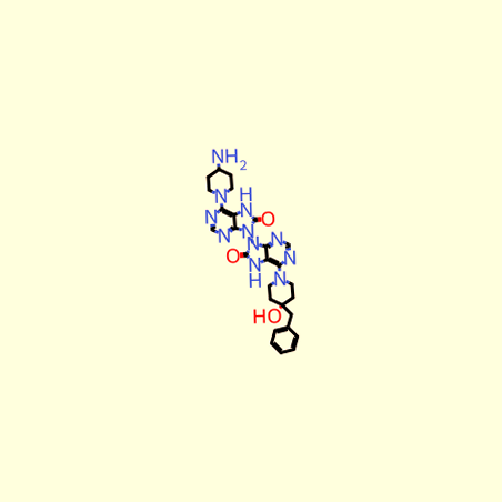 NC1CCN(c2ncnc3c2[nH]c(=O)n3-n2c(=O)[nH]c3c(N4CCC(O)(Cc5ccccc5)CC4)ncnc32)CC1